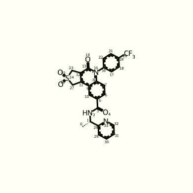 C[C@H](NC(=O)c1ccc2c(c1)c1c(c(=O)n2-c2ccc(C(F)(F)F)cc2)CS(=O)(=O)C1)c1ccccn1